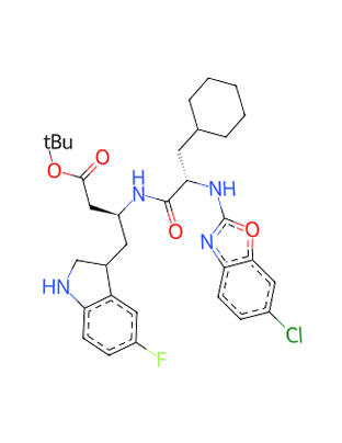 CC(C)(C)OC(=O)C[C@H](CC1CNc2ccc(F)cc21)NC(=O)[C@H](CC1CCCCC1)Nc1nc2ccc(Cl)cc2o1